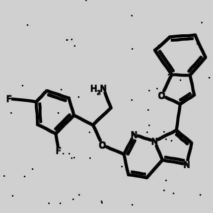 NCC(Oc1ccc2ncc(-c3cc4ccccc4o3)n2n1)c1ccc(F)cc1F